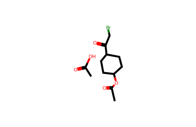 CC(=O)O.CC(=O)OC1CCC(C(=O)CBr)CC1